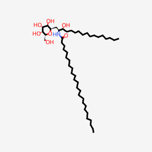 CCCCCCCCCCCCCCCCCCCCCCCCCC(=O)N[C@@H](C[C@H]1O[C@H](CO)[C@H](O)[C@H](O)[C@H]1O)[C@H](O)CCCCCCCCCCCCCC